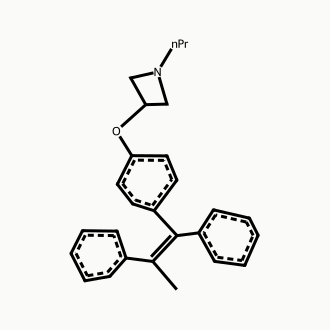 CCCN1CC(Oc2ccc(C(=C(C)c3ccccc3)c3ccccc3)cc2)C1